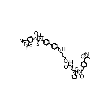 Cc1ncoc1-c1ccc(CNC(=O)[C@@H]2CCCN2C(=O)CNC(=O)COCCCCNc2ccc(-c3ccc(N4C(=S)N(c5ccc(C#N)c(C(F)(F)F)c5)C(=O)C4(C)C)cc3)cc2)cc1